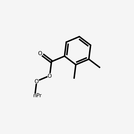 [CH2]CCOOC(=O)c1cccc(C)c1C